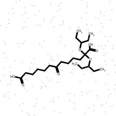 CCC(CC)OC(CCCCC(=O)CCCCCC(=O)O)(OC(CC)CC)C(=O)O